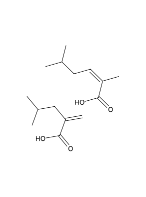 C=C(CC(C)C)C(=O)O.CC(=CCC(C)C)C(=O)O